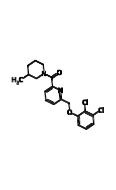 CC1CCCN(C(=O)c2cccc(COc3cccc(Cl)c3Cl)n2)C1